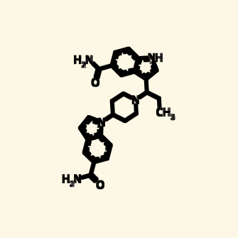 CCC(c1c[nH]c2ccc(C(N)=O)cc12)N1CCC(n2ccc3cc(C(N)=O)ccc32)CC1